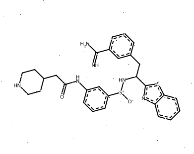 N=C(N)c1cccc(CC(N[S+]([O-])c2cccc(NC(=O)CC3CCNCC3)c2)c2nc3ccccc3s2)c1